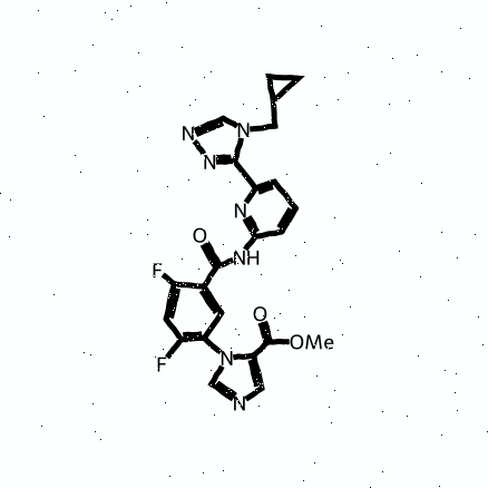 COC(=O)c1cncn1-c1cc(C(=O)Nc2cccc(-c3nncn3CC3CC3)n2)c(F)cc1F